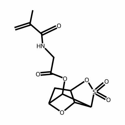 C=C(C)C(=O)NCC(=O)OC1C2CC3OS(=O)(=O)C1C3O2